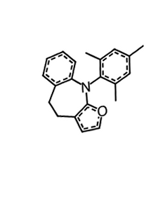 Cc1cc(C)c(N2c3ccccc3CCc3ccoc32)c(C)c1